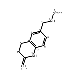 C=C1CCc2cc(CNCCCCC)ccc2N1